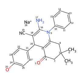 CC1(C)CC(=O)C2=C(C1)N(c1ccccc1)C(N)=C(C#N)C2c1ccc([O-])cc1.[Na+]